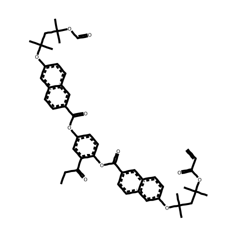 C=CC(=O)OC(C)(C)CC(C)(C)Oc1ccc2cc(C(=O)Oc3ccc(OC(=O)c4ccc5cc(OC(C)(C)CC(C)(C)OC=O)ccc5c4)cc3C(=O)CC)ccc2c1